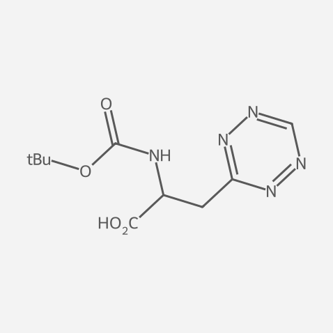 CC(C)(C)OC(=O)NC(Cc1nncnn1)C(=O)O